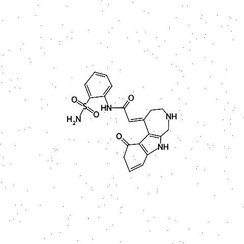 NS(=O)(=O)c1ccccc1NC(=O)C=C1CCNCc2[nH]c3c(c21)C(=O)CC=C3